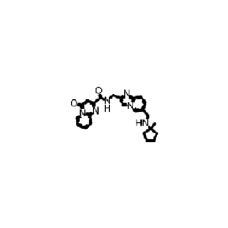 CC1(NCc2ccc3nc(CNC(=O)c4cc(=O)n5ccccc5n4)cn3c2)CCCC1